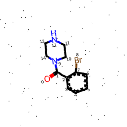 O=C(c1ccccc1Br)N1CCNCC1